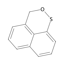 c1cc2c3c(cccc3c1)SOC2